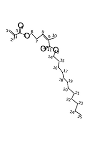 C=C(C)C(=O)OCCC=C(C)C(=O)OCCCCCCCCCCCC